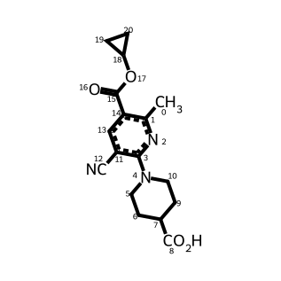 Cc1nc(N2CCC(C(=O)O)CC2)c(C#N)cc1C(=O)OC1CC1